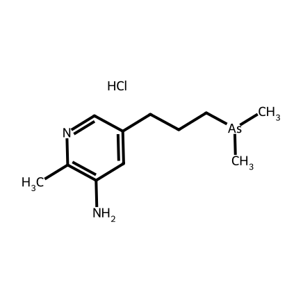 Cc1ncc(CCC[As](C)C)cc1N.Cl